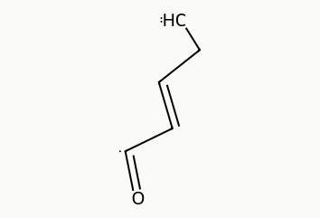 [CH]CC=C[C]=O